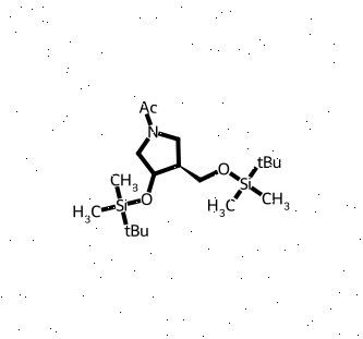 CC(=O)N1CC(O[Si](C)(C)C(C)(C)C)[C@H](CO[Si](C)(C)C(C)(C)C)C1